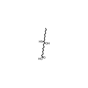 CCCCCCCCC(S)C(O)CCCCCCCC(=O)O